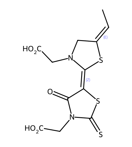 C/C=C1\CN(CC(=O)O)/C(=C2/SC(=S)N(CC(=O)O)C2=O)S1